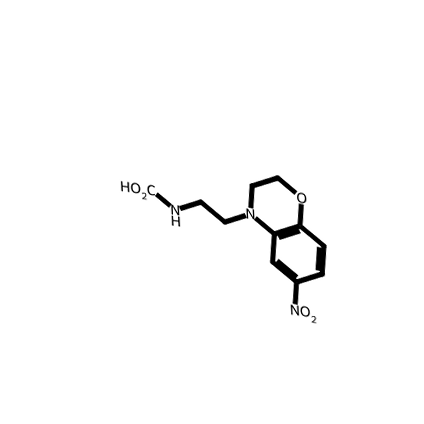 O=C(O)NCCN1CCOc2ccc([N+](=O)[O-])cc21